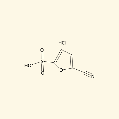 Cl.N#Cc1ccc(S(=O)(=O)O)o1